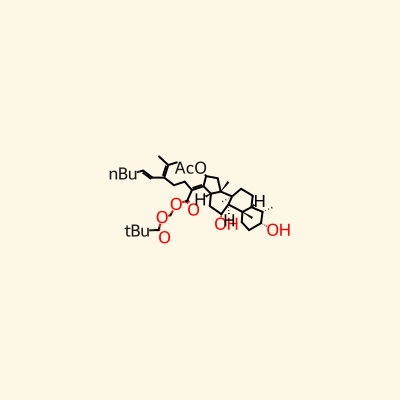 CCCCC=CC(CCC(C(=O)OCOC(=O)C(C)(C)C)=C1[C@@H](OC(C)=O)C[C@@]2(C)[C@@H]1C[C@@H](O)[C@@H]1[C@@]3(C)CC[C@@H](O)[C@@H](C)[C@H]3CC[C@@]12C)=C(C)C